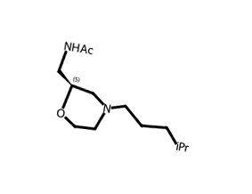 CC(=O)NC[C@H]1CN(CCCC(C)C)CCO1